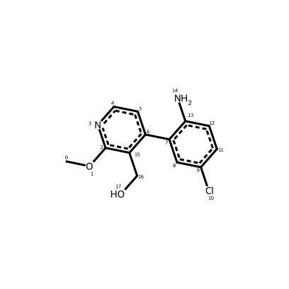 COc1nccc(-c2cc(Cl)ccc2N)c1CO